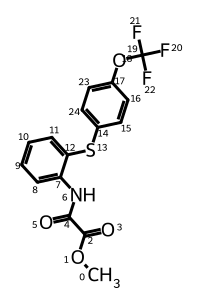 COC(=O)C(=O)Nc1ccccc1Sc1ccc(OC(F)(F)F)cc1